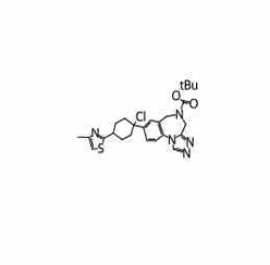 Cc1csc(C2CCC(Cl)(c3ccc4c(c3)CN(C(=O)OC(C)(C)C)Cc3nncn3-4)CC2)n1